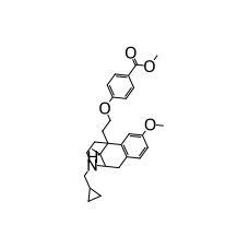 COC(=O)c1ccc(OCCC23CCN(CC4CC4)C(Cc4ccc(OC)cc42)[C@@H]3C)cc1